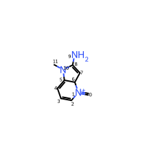 C=[N+]1C=CC=C2C1C=C(N)N2C